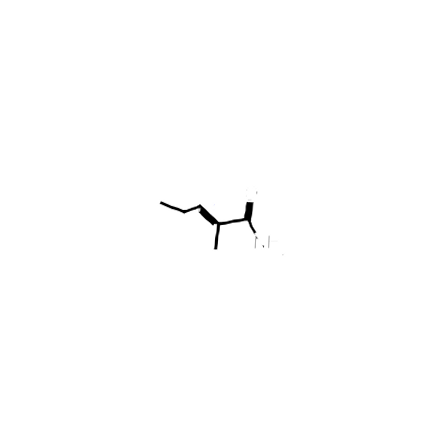 CC/C=C(\C)C(N)=O